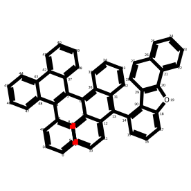 c1ccc(-c2c(-c3c4ccccc4c(-c4cccc5oc6c7ccccc7ccc6c45)c4ccccc34)c3ccccc3c3ccccc23)cc1